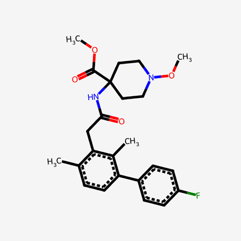 COC(=O)C1(NC(=O)Cc2c(C)ccc(-c3ccc(F)cc3)c2C)CCN(OC)CC1